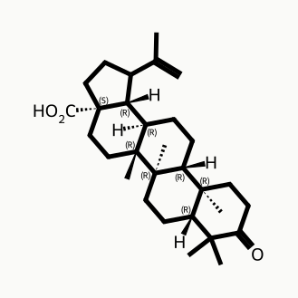 C=C(C)C1CC[C@]2(C(=O)O)CC[C@]3(C)[C@H](CC[C@@H]4[C@@]5(C)CCC(=O)C(C)(C)[C@@H]5CC[C@]43C)[C@@H]12